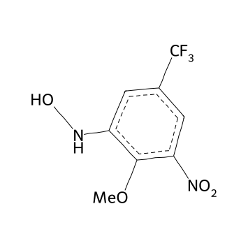 COc1c(NO)cc(C(F)(F)F)cc1[N+](=O)[O-]